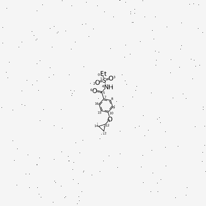 CCS(=O)(=O)NC(=O)c1ccc(OC2CC2)cc1